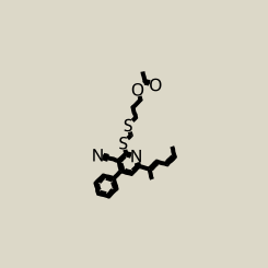 C/C=C\C=C(/C)c1cc(-c2ccccc2)c(C#N)c(SCSCCCOC(C)=O)n1